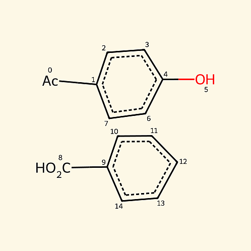 CC(=O)c1ccc(O)cc1.O=C(O)c1ccccc1